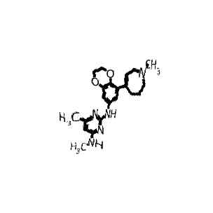 CNc1cc(C)nc(Nc2cc3c(c(C4=CCN(C)CCC4)c2)OCCO3)n1